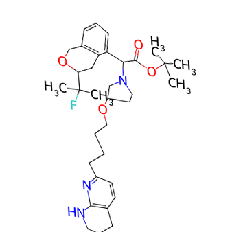 CC(C)(C)OC(=O)C(c1cccc2c1CC(C(C)(C)F)OC2)N1CCC(OCCCCc2ccc3c(n2)NCCC3)C1